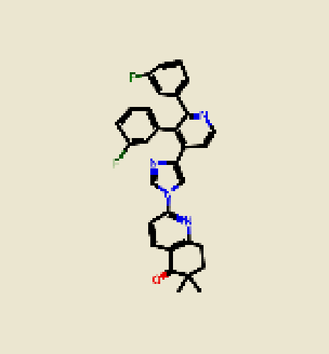 CC1(C)CCc2nc(-n3cnc(-c4ccnc(-c5cccc(F)c5)c4-c4cccc(F)c4)c3)ccc2C1=O